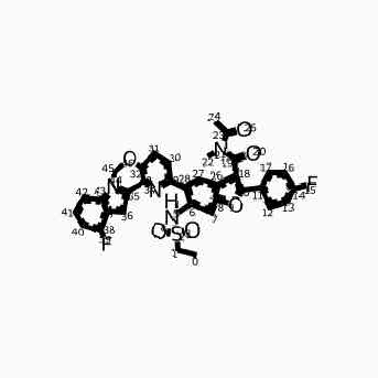 CCS(=O)(=O)Nc1cc2oc(-c3ccc(F)cc3)c(C(=O)N(C)C(C)=O)c2cc1-c1ccc2c(n1)-c1cc3c(F)cccc3n1CO2